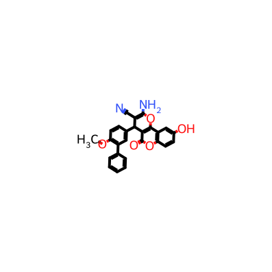 COc1ccc(C2C(C#N)=C(N)Oc3c2c(=O)oc2ccc(O)cc32)cc1-c1ccccc1